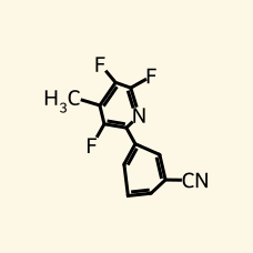 Cc1c(F)c(F)nc(-c2cccc(C#N)c2)c1F